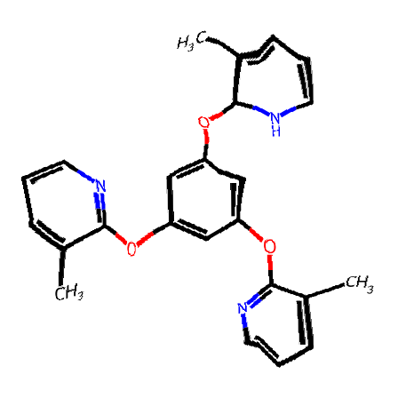 CC1=CC=CNC1Oc1cc(Oc2ncccc2C)cc(Oc2ncccc2C)c1